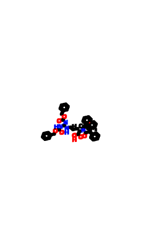 CC(C)(c1ccccc1)N(C(=O)C(c1ccccc1)c1ccccc1)[C@@H](CCCNC(=NC(=O)OCc1ccccc1)NC(=O)OCc1ccccc1)C(=O)O